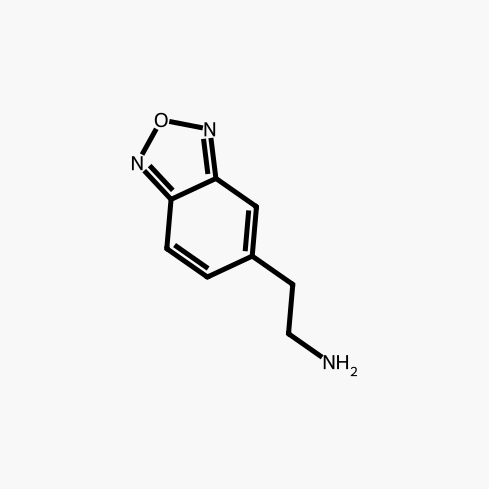 NCCc1ccc2nonc2c1